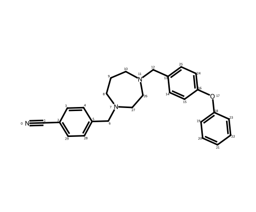 N#Cc1ccc(CN2CCCN(Cc3ccc(Oc4ccccc4)cc3)CC2)cc1